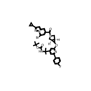 CC(C)(C)OC(=O)NC(C)(C)c1cc(OC2[C@H]3CN(C(=O)c4cc(Br)n5nc(C6CC6)cc5c4)C[C@@H]23)nc(-c2ccc(F)cc2)c1